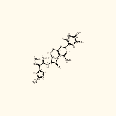 CO/N=C(\C(=O)N[C@@H]1C(=O)N2C(C(=O)OC)=C(CSc3nc(=O)c(=O)[nH]n3C)CS[C@H]12)c1csc(N)n1